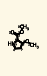 COC(=O)C1NCCC1OC